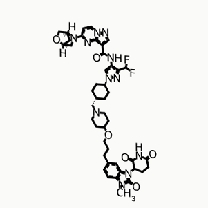 Cn1c(=O)n(C2CCC(=O)NC2=O)c2cc(CCCOC3CCN(C[C@H]4CC[C@H](n5cc(NC(=O)c6cnn7ccc(N8C[C@H]9C[C@@H]8CO9)nc67)c(C(F)F)n5)CC4)CC3)ccc21